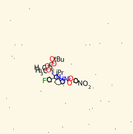 CC(C)c1nc2c(c(-c3ccc(F)cc3)c1/C=C/[C@@H]1C[C@H](CC(=O)OC(C)(C)C)OC(C)(C)O1)CCCc1ccc(NC(=O)Oc3ccc([N+](=O)[O-])cc3)cc1-2